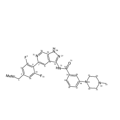 CNCc1cc(F)c(-c2cc3c(NC(=O)c4cccc(N5CCN(C)CC5)c4)n[nH]c3cn2)c(F)c1